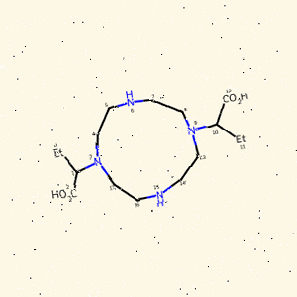 CCC(C(=O)O)N1CCNCCN(C(CC)C(=O)O)CCNCC1